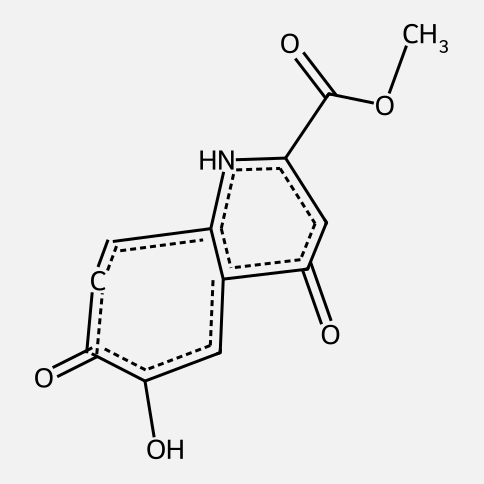 COC(=O)c1cc(=O)c2cc(O)c(=O)ccc2[nH]1